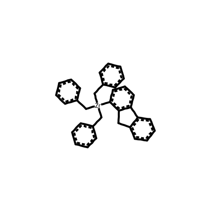 c1ccc([CH2][Zr]([CH2]c2ccccc2)([CH2]c2ccccc2)[c]2cccc3c2Cc2ccccc2-3)cc1